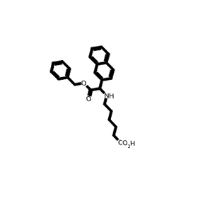 O=C(O)CCCCCNC(C(=O)OCc1ccccc1)c1ccc2ccccc2c1